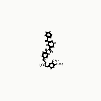 COc1ccc(CN(C)CCc2ccc(NC(=O)c3cccc(C(=O)c4ccccc4)c3)cc2)cc1OC